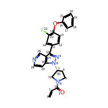 C=CC(=O)N1CC[C@@H](n2nc(-c3ccc(Oc4ccccc4)c(F)c3)c3cnccc32)C1